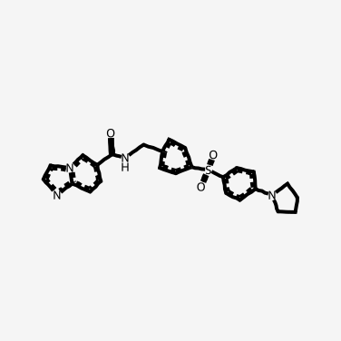 O=C(NCc1ccc(S(=O)(=O)c2ccc(N3CCCC3)cc2)cc1)c1ccc2nccn2c1